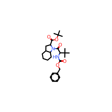 CC(C)(C)OC(=O)C1CC2CCCCC2N1C(=O)C(NC(=O)OCc1ccccc1)C(C)(C)C